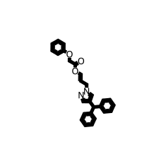 O=C(COc1ccccc1)OC=CCn1cc(C(c2ccccc2)c2ccccc2)cn1